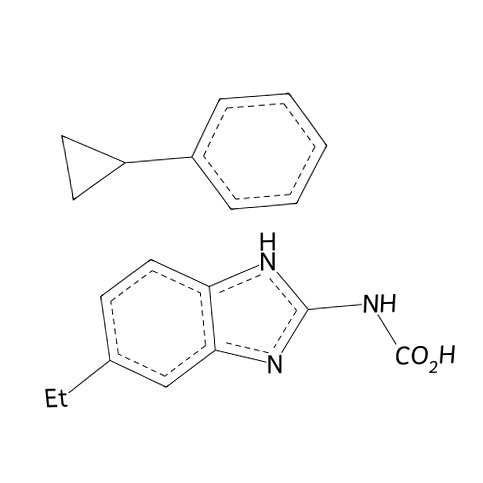 CCc1ccc2[nH]c(NC(=O)O)nc2c1.c1ccc(C2CC2)cc1